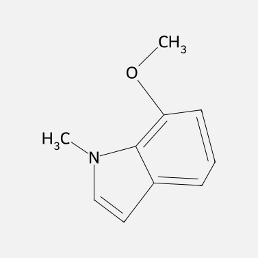 COc1cccc2ccn(C)c12